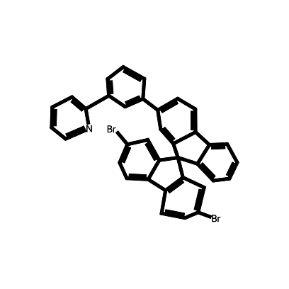 Brc1ccc2c(c1)C1(c3ccccc3-c3ccc(-c4cccc(-c5ccccn5)c4)cc31)c1cc(Br)ccc1-2